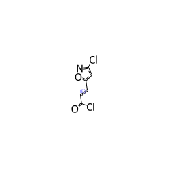 O=C(Cl)/C=C/c1cc(Cl)no1